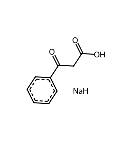 O=C(O)CC(=O)c1ccccc1.[NaH]